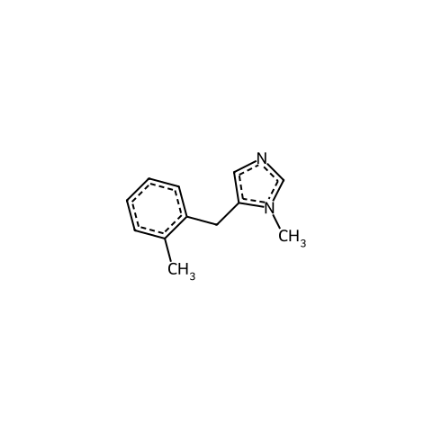 Cc1ccccc1Cc1cncn1C